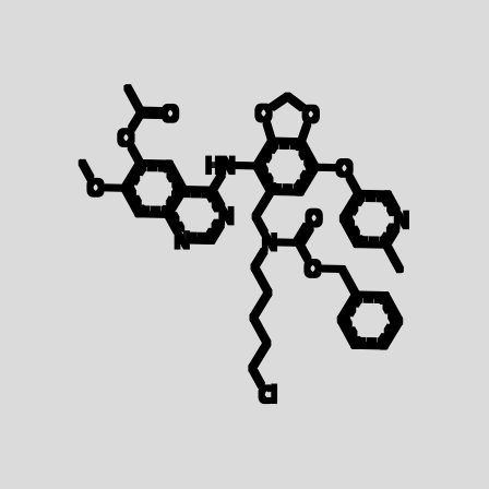 COc1cc2ncnc(Nc3c(CN(CCCCCCl)C(=O)OCc4ccccc4)cc(Oc4ccc(C)nc4)c4c3OCO4)c2cc1OC(C)=O